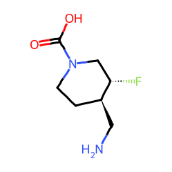 NC[C@H]1CCN(C(=O)O)C[C@@H]1F